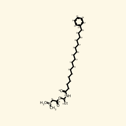 CCC(NC(=O)CCCCCCCCCCCCCCCCCc1ccccc1)OC(=O)CN(C)C